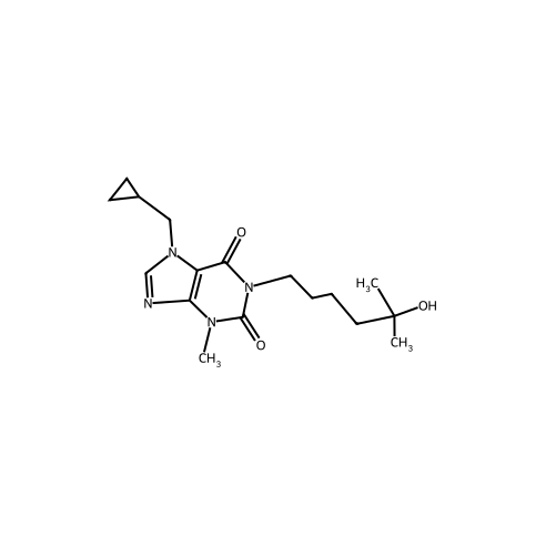 Cn1c(=O)n(CCCCC(C)(C)O)c(=O)c2c1ncn2CC1CC1